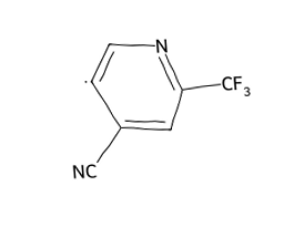 N#Cc1[c]cnc(C(F)(F)F)c1